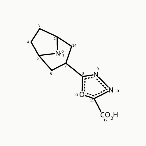 CN1C2CCC1CC(c1nnc(C(=O)O)o1)C2